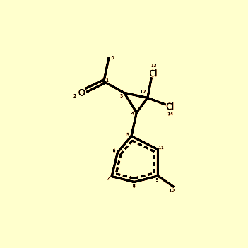 CC(=O)C1C(c2cccc(C)c2)C1(Cl)Cl